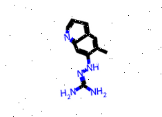 Cc1cc2cccnc2cc1NN=C(N)N